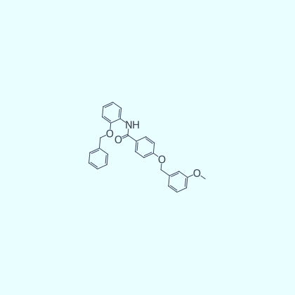 COc1cccc(COc2ccc(C(=O)Nc3ccccc3OCc3ccccc3)cc2)c1